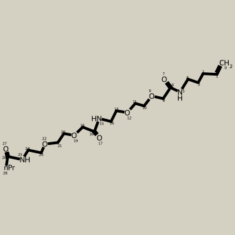 C=CCCCNC(=O)COCCOCCNC(=O)COCCOCCNC(=O)CCC